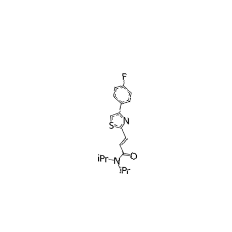 CC(C)N(C(=O)C=Cc1nc(-c2ccc(F)cc2)cs1)C(C)C